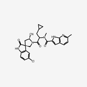 Cc1ccc2cc(C(=O)N(C)C(CC3CC3)C(=O)N3C[C@]4(C[C@H]3C#N)C(=O)Nc3ccc(Cl)cc34)[nH]c2n1